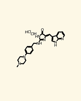 CN1CCN(c2ccc(CNC3=N/C(=C\c4c[nH]c5ncccc45)C(=O)N3)cc2)CC1.Cl.Cl